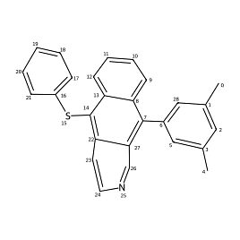 Cc1cc(C)cc(-c2c3ccccc3c(Sc3ccccc3)c3ccncc23)c1